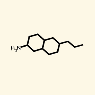 CCCC1CCC2CC(N)CCC2C1